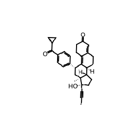 CC#C[C@]1(O)CC[C@H]2[C@@H]3CCC4=CC(=O)CCC4=C3[C@@H](c3ccc(C(=O)C4CC4)cc3)C[C@@]21C